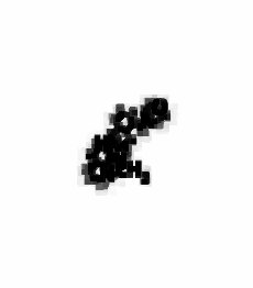 CN(C[C@@H]1Cc2c(cccc2CN2CCOCC2)CN1)[C@H]1CCCc2cccnc21